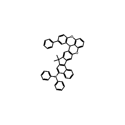 CC1(C)c2cc3c(cc2-c2c1cc(N(c1ccccc1)c1ccccc1)c1ccccc21)Oc1cccc2c1B3c1cc(-c3ccccc3)ccc1O2